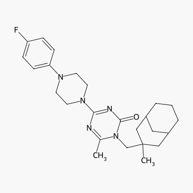 Cc1nc(N2CCN(c3ccc(F)cc3)CC2)nc(=O)n1CC1(C)CC2CCCC(C2)C1